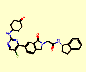 O=C1CCC(Nc2ncc(Cl)c(-c3ccc4c(c3)C(=O)N(CC(=O)N[C@H]3CCc5ccccc53)C4)n2)CC1